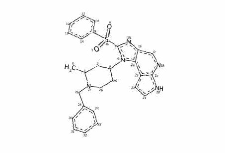 CC1CC(n2c(S(=O)(=O)c3ccccc3)nc3cnc4[nH]ccc4c32)CCN1Cc1ccccc1